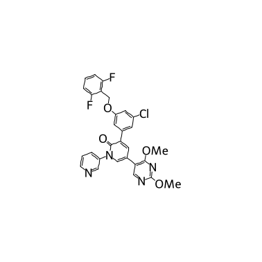 COc1ncc(-c2cc(-c3cc(Cl)cc(OCc4c(F)cccc4F)c3)c(=O)n(-c3cccnc3)c2)c(OC)n1